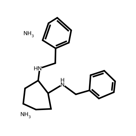 N.N.c1ccc(CNC2CCCCC2NCc2ccccc2)cc1